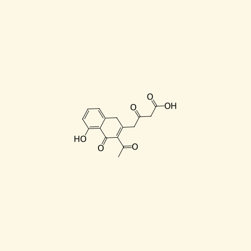 CC(=O)C1=C(CC(=O)CC(=O)O)Cc2cccc(O)c2C1=O